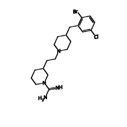 N=C(N)N1CCCC(CCN2CCC(Cc3cc(Cl)ccc3Br)CC2)C1